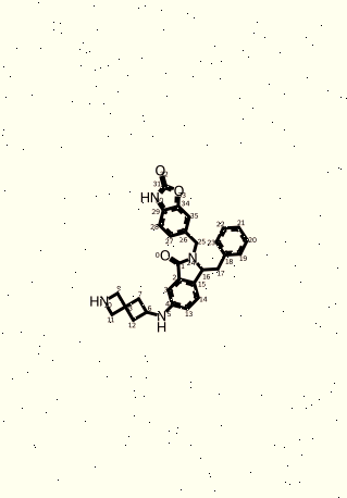 O=C1c2cc(NC3CC4(CNC4)C3)ccc2C(Cc2ccccc2)N1Cc1ccc2[nH]c(=O)oc2c1